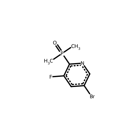 CP(C)(=O)c1ncc(Br)cc1F